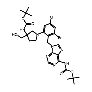 CC(C)(C)OC(=O)Nc1ncnc2c1ncn2Cc1c(Br)cc(Cl)cc1N1CCC(CO)(NC(=O)OC(C)(C)C)C1